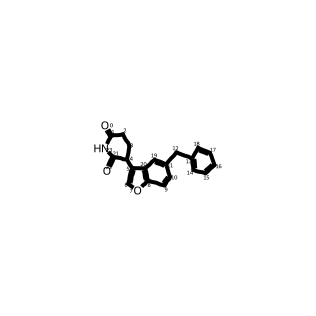 O=C1CCC(c2coc3ccc(Cc4ccccc4)cc23)C(=O)N1